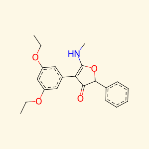 CCOc1cc(OCC)cc(C2=C(NC)OC(c3ccccc3)C2=O)c1